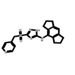 O=S(=O)(Cc1ccncc1)c1n[nH]c(Nc2c3c(cc4c2CCC4)CCC3)n1